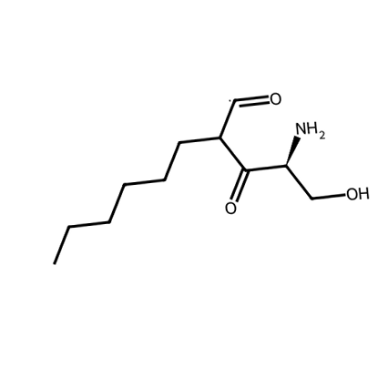 CCCCCCC([C]=O)C(=O)[C@@H](N)CO